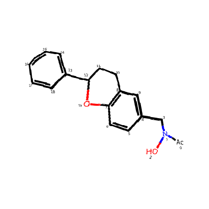 CC(=O)N(O)Cc1ccc2c(c1)CCC(c1ccccc1)O2